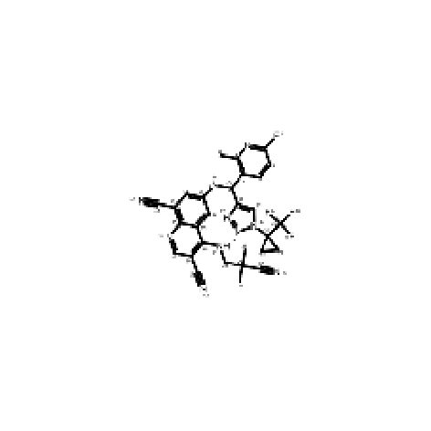 Cc1nc(F)ccc1[C@H](Nc1cc(C#N)c2ncc(C#N)c(NCC(C)(C)C#N)c2c1)c1cn(C2(C(F)(F)F)CC2)nn1